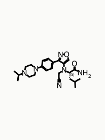 CC(C)C[C@@H](C(N)=O)N(CC#N)c1conc1-c1ccc(N2CCN(C(C)C)CC2)cc1